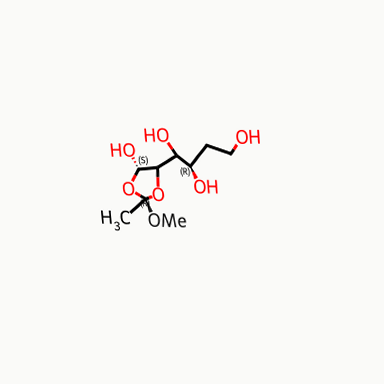 CO[C@]1(C)OC(C(O)[C@H](O)CCO)[C@@H](O)O1